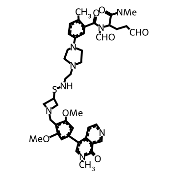 CNC(=O)C(CCC=O)N(C=O)C(=O)c1cc(N2CCN(CCNSC3CN(Cc4c(OC)cc(-c5cn(C)c(=O)c6cnccc56)cc4OC)C3)CC2)ccc1C